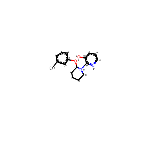 CCc1cccc(OC2CCCCN2c2ncccc2[O])c1